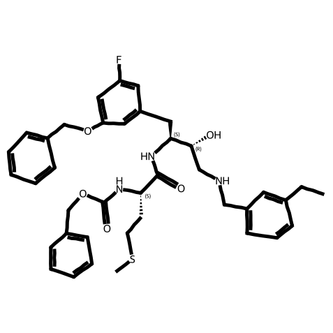 CCc1cccc(CNC[C@@H](O)[C@H](Cc2cc(F)cc(OCc3ccccc3)c2)NC(=O)[C@H](CCSC)NC(=O)OCc2ccccc2)c1